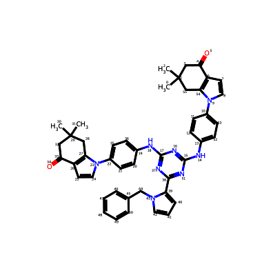 CC1(C)CC(=O)c2ccn(-c3ccc(Nc4nc(Nc5ccc(-n6ccc7c6CC(C)(C)CC7=O)cc5)nc(-c5cccn5Cc5ccccc5)n4)cc3)c2C1